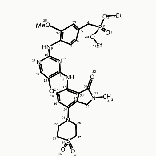 CCOP(=O)(Cc1ccc(Nc2ncc(C(F)(F)F)c(Nc3ccc(N4CCS(=O)(=O)CC4)c4c3C(=O)N(C)C4)n2)c(OC)c1)OCC